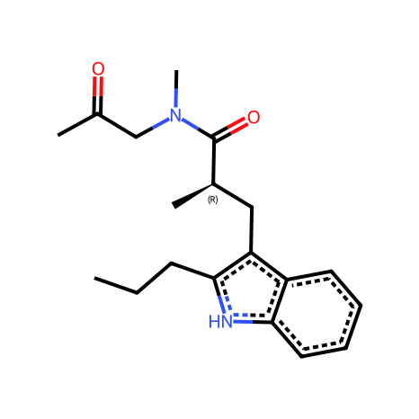 CCCc1[nH]c2ccccc2c1C[C@@H](C)C(=O)N(C)CC(C)=O